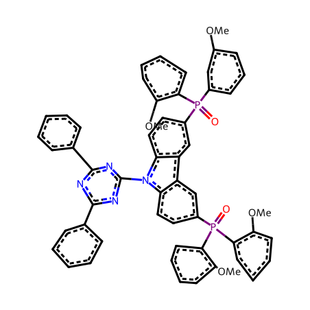 COc1cccc(P(=O)(c2ccc3c(c2)c2cc(P(=O)(c4ccccc4OC)c4ccccc4OC)ccc2n3-c2nc(-c3ccccc3)nc(-c3ccccc3)n2)c2ccccc2OC)c1